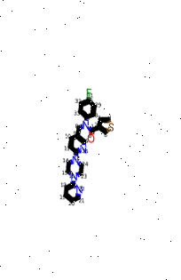 O=C(c1ccsc1)N(Cc1ccc(N2CCN(c3ccccn3)CC2)nc1)c1ccc(F)cc1